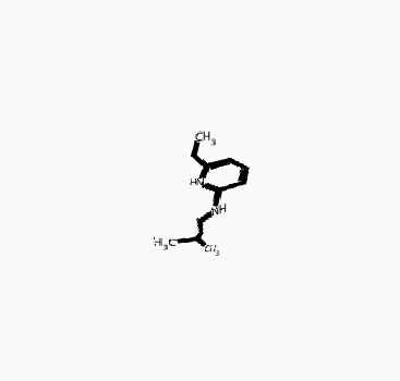 CCC1=CC=CC(NCC(C)C)N1